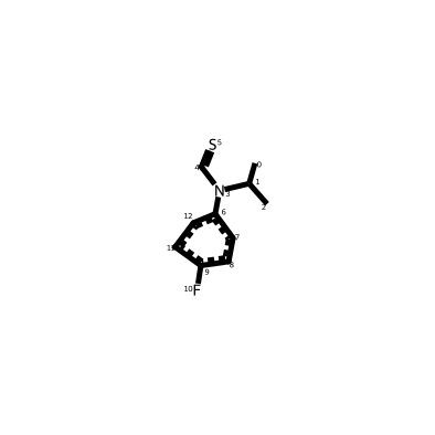 CC(C)N([C]=S)c1ccc(F)cc1